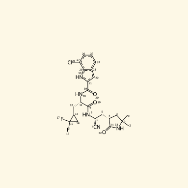 CC1(C)C[C@@H](C[C@@H](C#N)NC(=O)[C@H](CC2CC2(F)F)NC(=O)c2cc3cccc(Cl)c3[nH]2)C(=O)N1